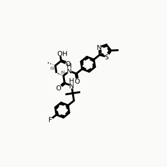 Cc1cnc(-c2ccc(C(=O)N[C@@H](C[C@H](C)C(=O)O)C(=O)NC(C)(C)Cc3ccc(F)cc3)cc2)s1